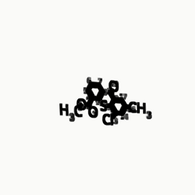 COC(=O)c1ccccc1Sc1c(Cl)cc(C)cc1C=O